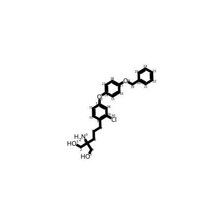 NC(CO)(CO)CCCc1ccc(Oc2ccc(OCc3ccccc3)cc2)cc1Cl